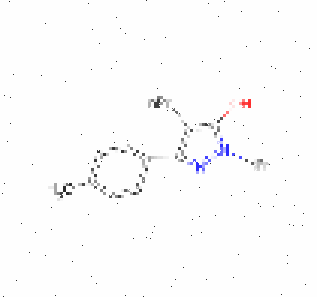 CCCc1c(-c2ccc(C)cc2)nn(C(C)C)c1O